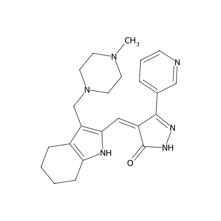 CN1CCN(Cc2c(C=C3C(=O)NN=C3c3cccnc3)[nH]c3c2CCCC3)CC1